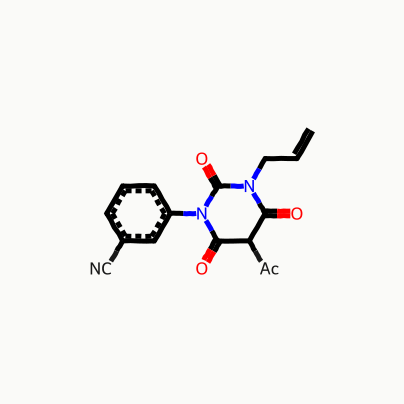 C=CCN1C(=O)C(C(C)=O)C(=O)N(c2cccc(C#N)c2)C1=O